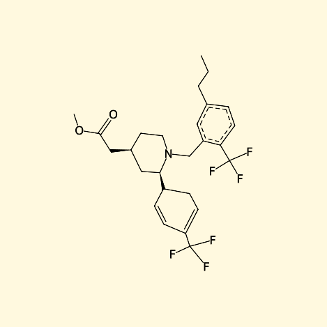 CCCc1ccc(C(F)(F)F)c(CN2CC[C@H](CC(=O)OC)C[C@@H]2C2C=CC(C(F)(F)F)=CC2)c1